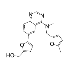 Cc1ccc(CN(C)c2ncnc3ccc(-c4ccc(CO)o4)cc23)o1